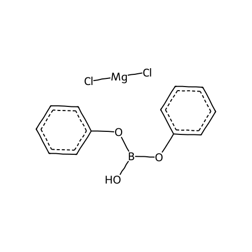 OB(Oc1ccccc1)Oc1ccccc1.[Cl][Mg][Cl]